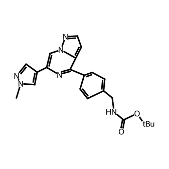 Cn1cc(-c2cn3nccc3c(-c3ccc(CNC(=O)OC(C)(C)C)cc3)n2)cn1